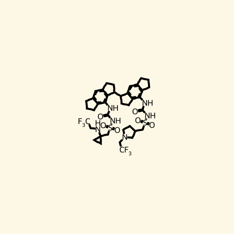 O=C(Nc1c2c(cc3c1CCC3C1CCc3cc4c(c(NC(=O)NS(=O)(=O)CC5(NCC(F)(F)F)CC5)c31)CCC4)CCC2)NS(=O)(=O)CC1CCN(CC(F)(F)F)C1